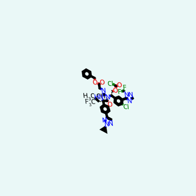 CC(C)(C[C@]1(c2ccc(-c3cnn(C4CC4)n3)cc2)N/C(=N\CC(=O)OCc2ccccc2)N([C@H](COC(=O)Cl)c2ccc(Cl)c(-c3ncnn3C(F)F)c2)C1=O)C(F)(F)F